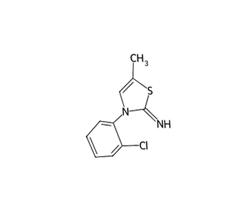 Cc1cn(-c2ccccc2Cl)c(=N)s1